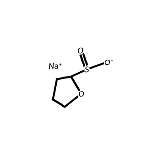 O=S([O-])C1CCCO1.[Na+]